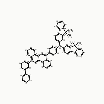 CC1(C)c2ccccc2-c2ccc(N(c3ccc(-c4cc5c6ccccc6c(-c6cccc(-c7ccccc7)c6)cc5c5ccccc45)cc3)c3ccc4c(c3)C(C)(C)c3ccccc3-4)cc21